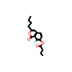 CCCCc1cc2ccc(OC(=O)CCC)c(F)c2c(=O)o1